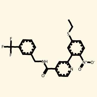 CCSc1ccc([N+](=O)[O-])c(-c2cc(C(=O)NCc3cccc(C(F)(F)F)c3)ccn2)c1